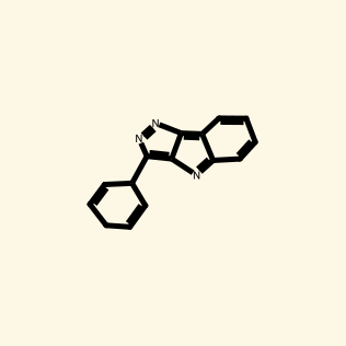 C1=CC(C2=C3N=c4ccccc4=C3N=N2)C=CC1